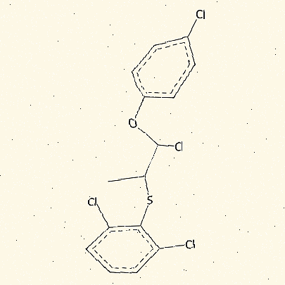 CC(Sc1c(Cl)cccc1Cl)C(Cl)Oc1ccc(Cl)cc1